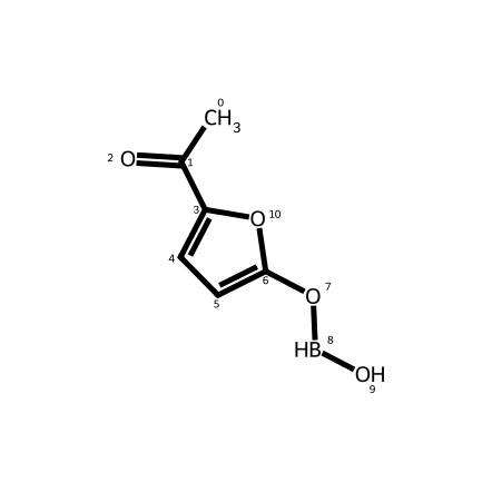 CC(=O)c1ccc(OBO)o1